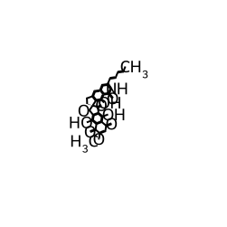 C/C=C/C=C/c1cc2cc3c(c(O)c2c(=O)[nH]1)[C@@]1(CC3)C(=O)c2c(O)c3c(c(O)c2C1=O)C(=O)C(OC)=CC3=O